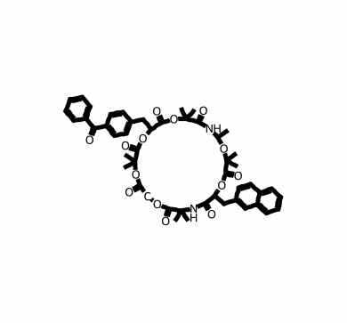 CC1NC(=O)C(C)(C)OC(=O)C(Cc2ccc(C(=O)c3ccccc3)cc2)OC(=O)C(C)(C)OC(=O)COC(=O)C(C)(C)NC(=O)C(Cc2ccc3ccccc3c2)OC(=O)C(C)(C)O1